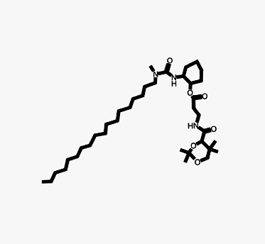 CCCCCCCCCCCCCCCCCCN(C)C(=O)NC1CCCCC1OC(=O)CCNC(=O)C1OC(C)(C)OCC1(C)C